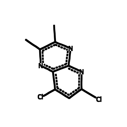 Cc1nc2nc(Cl)cc(Cl)c2nc1C